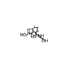 N#CCNC(=O)C1CCCCC1C(=O)NCCO